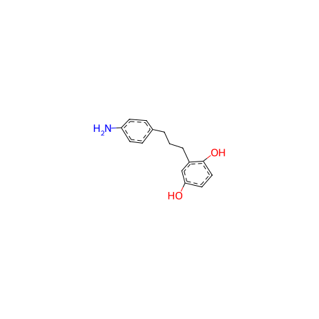 Nc1ccc(CCCc2cc(O)ccc2O)cc1